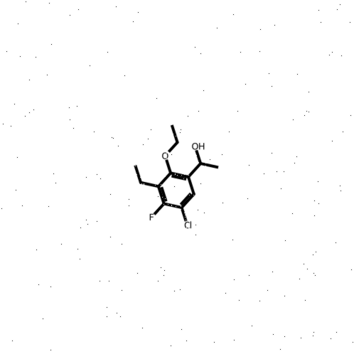 CCOc1c(C(C)O)cc(Cl)c(F)c1CC